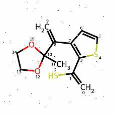 C=C(S)c1sccc1C(=C)C1(C)OCCO1